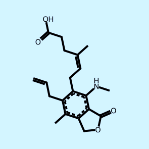 C=CCc1c(C)c2c(c(NC)c1CC=C(C)CCC(=O)O)C(=O)OC2